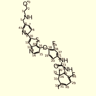 COCCNCc1ccc(-c2cc3nccc(Oc4ccc(NC(=O)NC5C(F)=CC=C(I)CC5(C)C)cc4F)c3s2)nc1